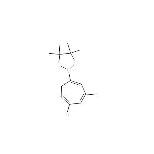 CC1(C)OB(C2=CC(Br)=CC(Br)=CC2)OC1(C)C